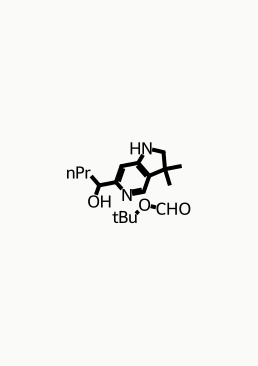 CC(C)(C)OC=O.CCCC(O)c1cc2c(cn1)C(C)(C)CN2